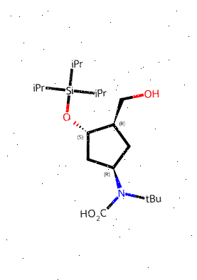 CC(C)[Si](O[C@H]1C[C@H](N(C(=O)O)C(C)(C)C)C[C@@H]1CO)(C(C)C)C(C)C